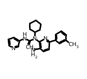 C=C(Nc1cccnc1)N(c1nc(-c2cccc(C)c2)ccc1N)C1CCCCC1